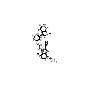 COc1ccc(F)c2c1cc(C#N)n2CCNc1cc(-c2c[nH]c3cnccc23)ncn1